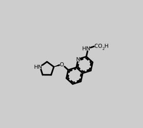 O=C(O)Nc1ccc2cccc(O[C@H]3CCNC3)c2n1